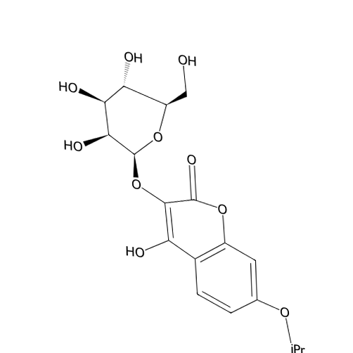 CC(C)Oc1ccc2c(O)c(O[C@@H]3O[C@H](CO)[C@@H](O)[C@H](O)[C@@H]3O)c(=O)oc2c1